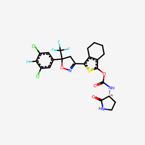 O=C(N[C@@H]1CCNC1=O)Oc1sc(C2=NOC(c3cc(Cl)c(F)c(Cl)c3)(C(F)(F)F)C2)c2c1CCCC2